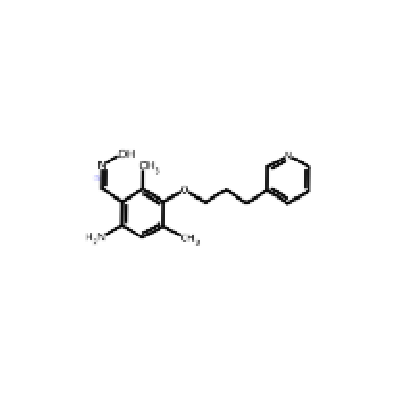 Cc1cc(N)c(/C=N\O)c(C)c1OCCCc1cccnc1